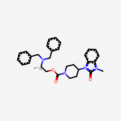 C[C@@H](COC(=O)N1CCC(n2c(=O)n(C)c3ccccc32)CC1)N(Cc1ccccc1)Cc1ccccc1